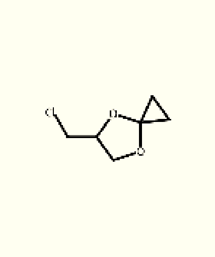 ClCC1COC2(CC2)O1